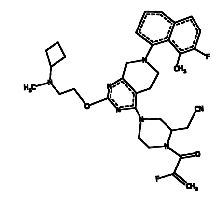 C=C(F)C(=O)N1CCN(c2nc(OCCN(C)C3CCC3)nc3c2CCN(c2cccc4ccc(F)c(C)c24)C3)CC1CC#N